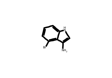 Nc1c[nH]c2cccc(Br)c12